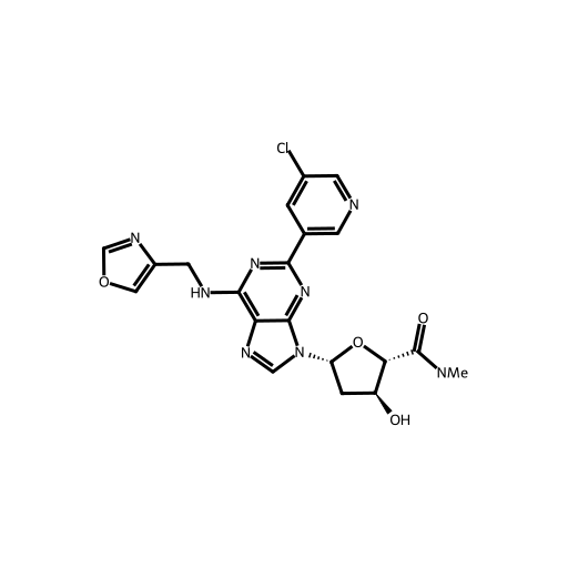 CNC(=O)[C@H]1O[C@@H](n2cnc3c(NCc4cocn4)nc(-c4cncc(Cl)c4)nc32)C[C@@H]1O